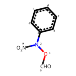 O=CON(c1ccccc1)[N+](=O)[O-]